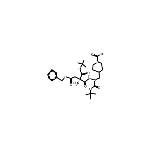 CC(C)(C)OC(=O)N(CC1CCN(C(=O)O)CC1)NC(=O)[C@@](N)(CC(=O)OCc1ccccc1)C(=O)OC(C)(C)C